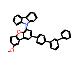 COc1ccc2oc3c(-n4c5ccccc5c5ccccc54)cc(-c4ccc(-c5cccc(-c6ccccc6)c5)cc4)cc3c2c1